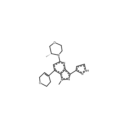 C[C@@H]1COCCN1c1cc(C2=CCOCC2)c2c(n1)c(-c1cc[nH]n1)nn2C